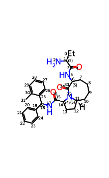 CC[C@H](N)C(=O)N[C@H]1CCCC[C@H]2CC[C@@H](C(=O)N[C@@H](c3ccccc3)c3ccccc3C)N2C1=O